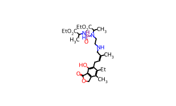 CCOC(=O)C(C)N[PH](=O)N(CCNCC(C)=CCc1c(O)c2c(c(C)c1CC)COC2=O)C(C)C(=O)OCC